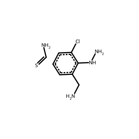 NC=S.NCc1cccc(Cl)c1NN